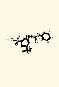 CS(=O)(=O)c1cc(NC(=O)Oc2ccccc2)cc(C(F)(F)F)c1